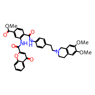 COC(=O)c1ccc(C(=O)Nc2ccc(CCN3CCc4cc(OC)c(OC)cc4C3)cc2)c(NC(=O)c2cc(=O)c3ccccc3o2)c1